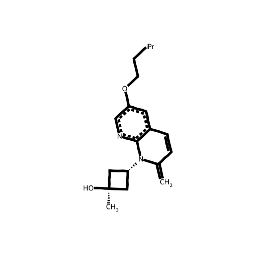 C=C1C=Cc2cc(OCCC(C)C)cnc2N1[C@H]1C[C@](C)(O)C1